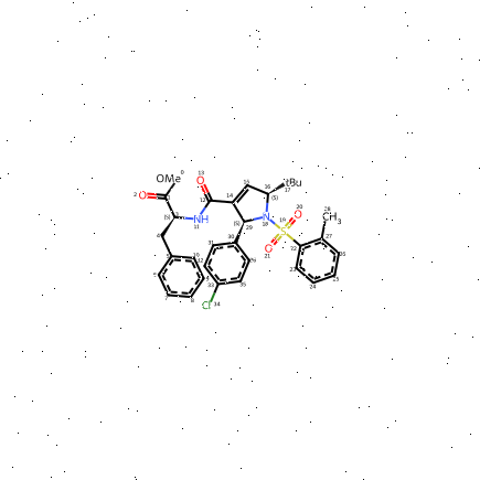 COC(=O)[C@H](Cc1ccccc1)NC(=O)C1=C[C@@H](C(C)(C)C)N(S(=O)(=O)c2ccccc2C)[C@H]1c1ccc(Cl)cc1